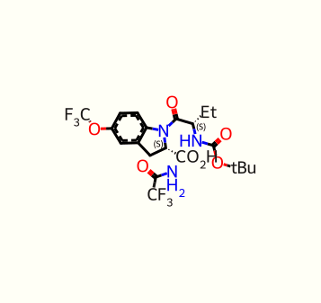 CC[C@H](NC(=O)OC(C)(C)C)C(=O)N1c2ccc(OC(F)(F)F)cc2C[C@H]1C(=O)O.NC(=O)C(F)(F)F